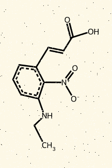 CCNc1cccc(/C=C/C(=O)O)c1[N+](=O)[O-]